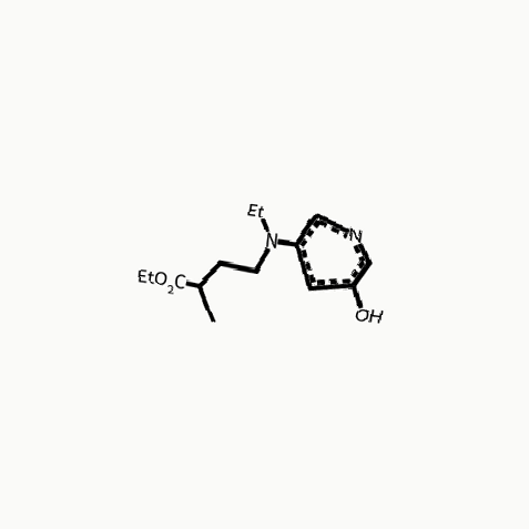 CCOC(=O)C(C)CCN(CC)c1cncc(O)c1